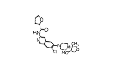 CC1(N2CCN(c3cc4cc(NC(=O)[C@@H]5CCCO5)ncc4cc3Cl)CC2)COCC1O